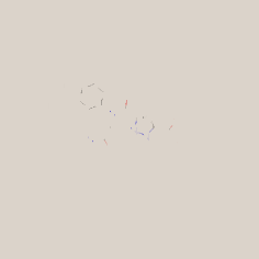 CCOC(=O)c1cc2n(n1)CC(C)(C(=O)NC1CCCCCCC1)N(c1ccc(C)c(C)c1)C2=O